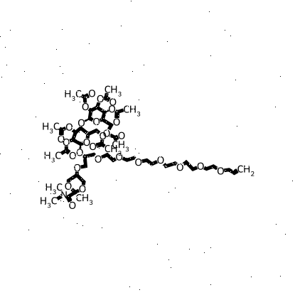 C=CCOCCOCCOCCOCCOCCOCCOCC(COC1COC(C)(C(=O)N(C)C)OC1)O[C@@H]1OC(COC(C)=O)[C@@H](O[C@@H]2OC(COC(C)=O)[C@H](OC(C)=O)C(OC(C)=O)C2OC(C)=O)C(OC(C)=O)C1OC(C)=O